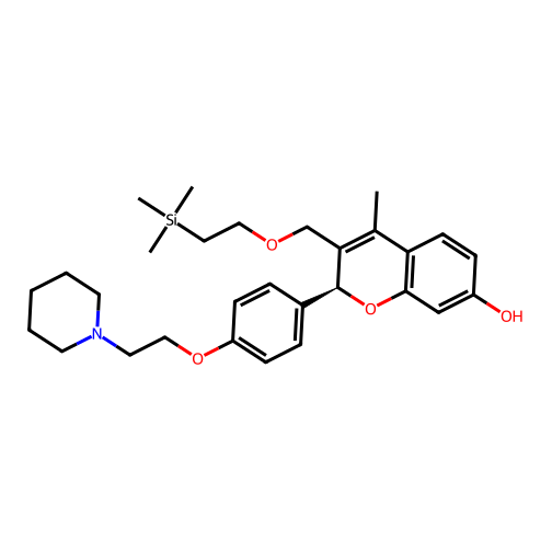 CC1=C(COCC[Si](C)(C)C)[C@H](c2ccc(OCCN3CCCCC3)cc2)Oc2cc(O)ccc21